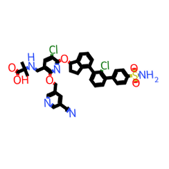 CC(C)(NCc1cc(Cl)c(OC2CCc3c(-c4cccc(-c5ccc(S(N)(=O)=O)cc5)c4Cl)cccc32)nc1OCc1cncc(C#N)c1)C(=O)O